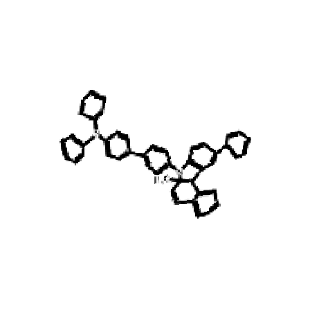 CC12C=Cc3ccccc3C1c1cc(-c3ccccc3)ccc1N2c1ccc(-c2ccc(N(c3ccccc3)c3ccccc3)cc2)cc1